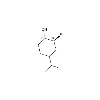 CC(C)C1CC[C@H](O)[C@@H](F)C1